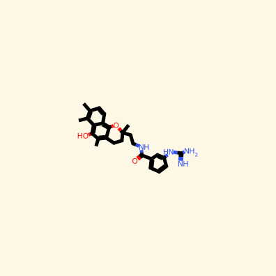 Cc1ccc2c3c(c(C)c(O)c2c1C)CCC(C)(CCNC(=O)c1cccc(NC(=N)N)c1)O3